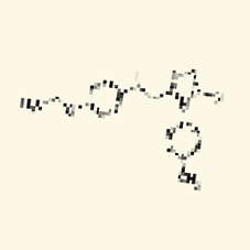 CCOc1ccc(NCc2nnc(S)n2-c2ccc(C)cc2)cc1